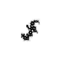 CSN1CCN(Cc2c(CC#N)c(-c3ccc(NC(=O)Nc4cc(C(F)(F)F)ccn4)cc3)c3c(N)ncnn23)CC1